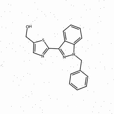 OCc1cnc(-c2nn(Cc3ccccc3)c3ccccc23)s1